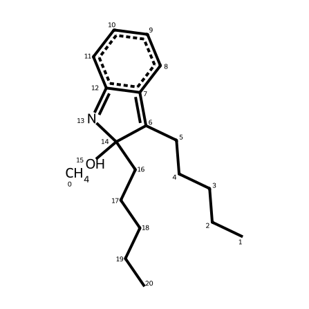 C.CCCCCC1=c2ccccc2=NC1(O)CCCCC